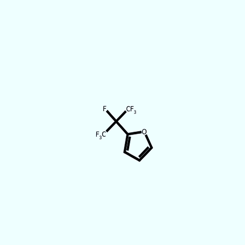 FC(F)(F)C(F)(c1ccco1)C(F)(F)F